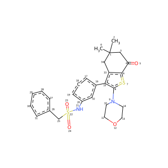 CC1(C)CC(=O)c2sc(N3CCOCC3)c(-c3cccc(NS(=O)(=O)Cc4ccccc4)c3)c2C1